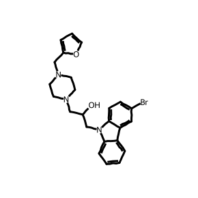 OC(CN1CCN(Cc2ccco2)CC1)Cn1c2ccccc2c2cc(Br)ccc21